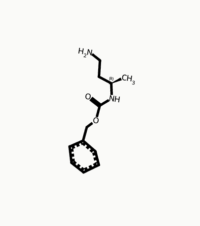 C[C@H](CCN)NC(=O)OCc1ccccc1